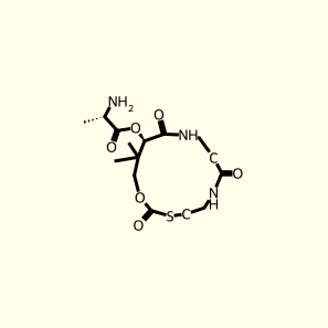 C[C@H](N)C(=O)O[C@H]1C(=O)NCCC(=O)NCCSC(=O)OCC1(C)C